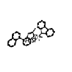 CC1=Cc2c(-c3cccc4ccccc34)cccc2[CH]1[Zr]([CH3])([CH3])(=[SiH2])[CH]1c2ccccc2-c2ccccc21